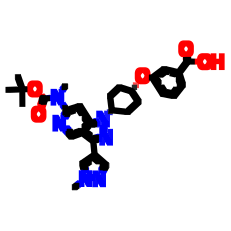 CN(C(=O)OC(C)(C)C)c1cc2c(cn1)c(-c1cnn(C)c1)nn2[C@H]1CC[C@@H](Oc2cccc(C(=O)O)c2)CC1